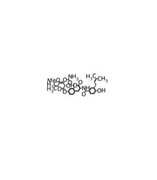 CO[C@@H]1[C@H](OC(N)=O)C(O)[C@H](Oc2ccc3cc(NC(=O)c4ccc(O)c(CC=C(C)C)c4)c(=O)oc3c2)OC1(C)C